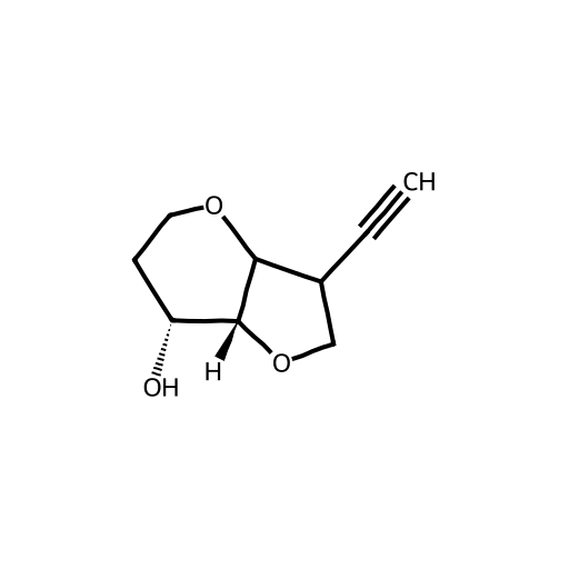 C#CC1CO[C@H]2C1OCC[C@H]2O